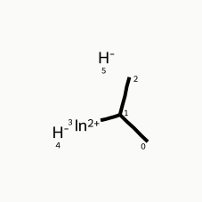 C[CH](C)[In+2].[H-].[H-]